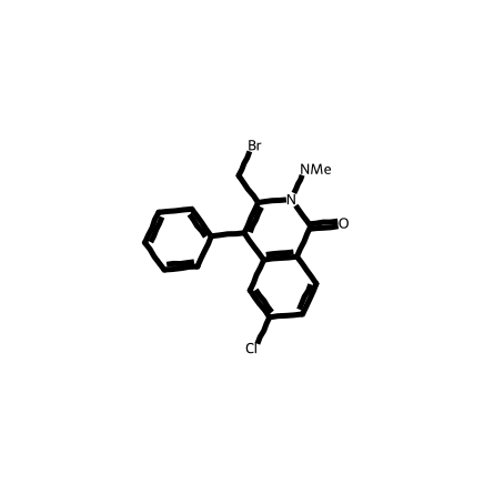 CNn1c(CBr)c(-c2ccccc2)c2cc(Cl)ccc2c1=O